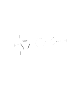 CC1CC([C@H]2CC[C@H](c3cc(F)c(F)c(F)c3)CC2)C1